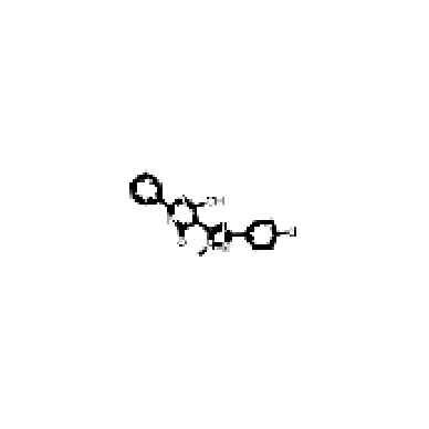 Cn1nc(-c2ccc(Cl)cc2)nc1-c1c(O)sc(-c2ccccc2)nc1=O